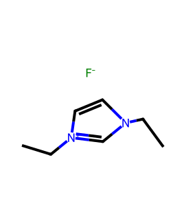 CCn1cc[n+](CC)c1.[F-]